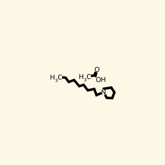 CC(=O)O.CCCCCCCCCN1CCCCC1